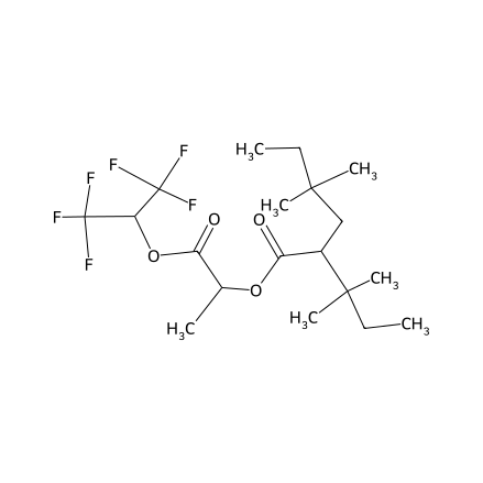 CCC(C)(C)CC(C(=O)OC(C)C(=O)OC(C(F)(F)F)C(F)(F)F)C(C)(C)CC